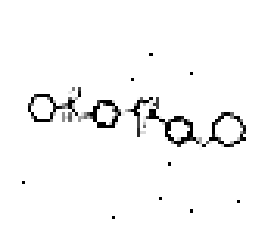 O=C(Nc1ccc(-c2cnc(-c3ccc(NC4CCCCCC4)cc3)[nH]2)cc1)C1CCCCC1